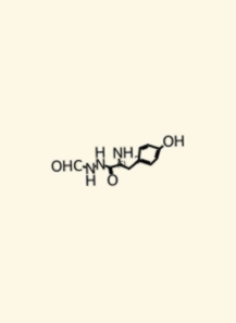 N[C@@H](Cc1ccc(O)cc1)C(=O)NNC=O